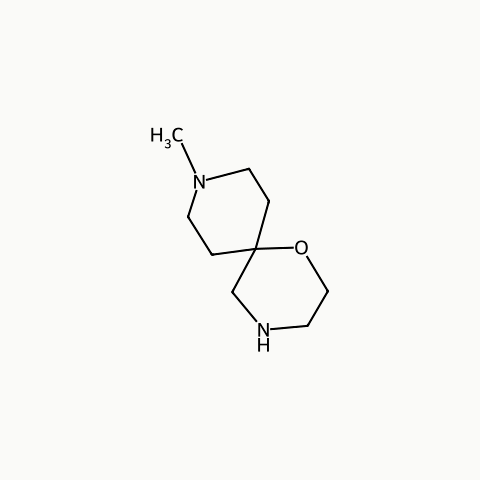 CN1CCC2(CC1)CNCCO2